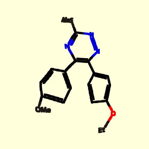 CCOc1ccc(-c2nnc(SC)nc2-c2ccc(OC)cc2)cc1